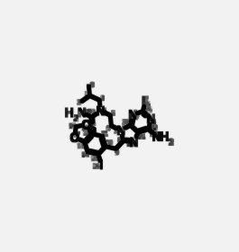 CC(C)CN(CCn1c(Cc2cc3c(cc2I)OCO3)nc2c(N)nc(F)nc21)C(N)=S